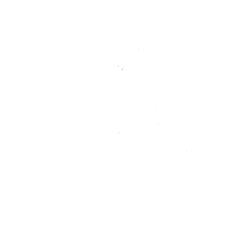 CCCCOC(=O)C(CC)(CC(C)C)C(=O)[O-].C[N+](C)(C)Cc1ccccc1